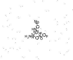 Nc1nc(-c2cccc(NC(=O)c3cc(F)ccc3F)c2)c(-c2ccnc(Nc3cccc(-c4cnco4)c3)n2)s1